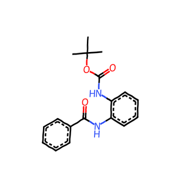 CC(C)(C)OC(=O)Nc1ccccc1NC(=O)c1ccccc1